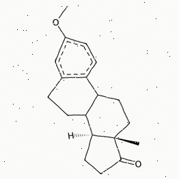 COc1ccc2c(c1)CCC1C2CC[C@]2(C)C(=O)CC[C@@H]12